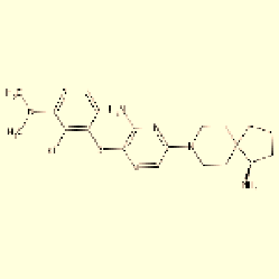 CN(C)c1nccc(Sc2ncc(N3CCC4(CCC[C@H]4N)CC3)nc2N)c1Cl